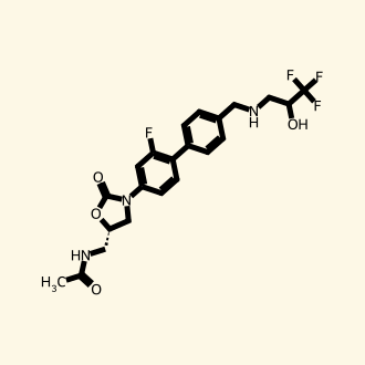 CC(=O)NC[C@H]1CN(c2ccc(-c3ccc(CNCC(O)C(F)(F)F)cc3)c(F)c2)C(=O)O1